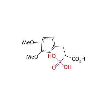 COc1ccc(CC(C(=O)O)P(=O)(O)O)cc1OC